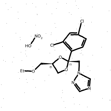 CCOC[C@@H]1CO[C@@](Cn2cncn2)(c2ccc(Cl)cc2Cl)O1.O=[N+]([O-])O